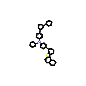 c1ccc(-c2cccc(-c3ccc(N(c4ccccc4)c4ccc(-c5cccc6c5sc5ccc7ccccc7c56)cc4)cc3)c2)cc1